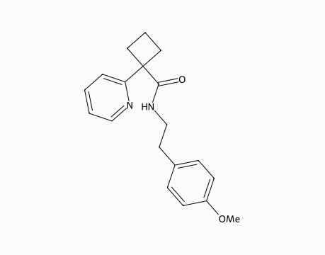 COc1ccc(CCNC(=O)C2(c3ccccn3)CCC2)cc1